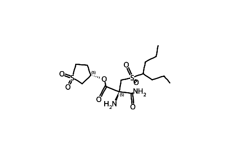 CCCC(CCC)S(=O)(=O)C[C@](N)(C(N)=O)C(=O)O[C@H]1CCS(=O)(=O)C1